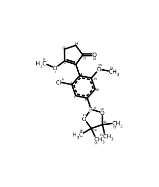 COC1=C(c2c(Cl)cc(B3OC(C)(C)C(C)(C)O3)cc2OC)C(=O)CC1